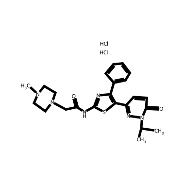 CC(C)n1nc(-c2sc(NC(=O)CN3CCN(C)CC3)nc2-c2ccccc2)ccc1=O.Cl.Cl